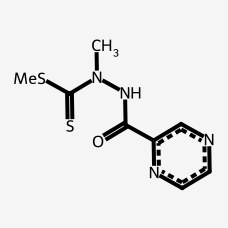 CSC(=S)N(C)NC(=O)c1cnccn1